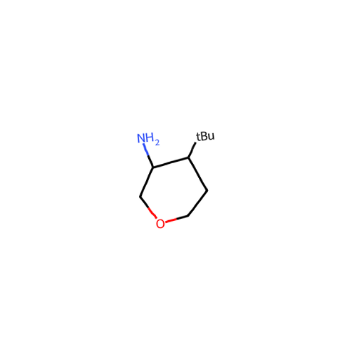 CC(C)(C)C1CCOCC1N